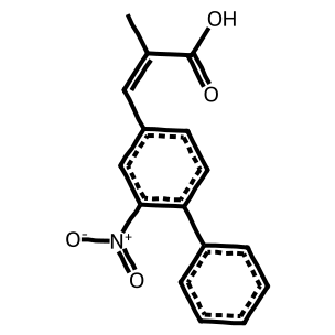 CC(=Cc1ccc(-c2ccccc2)c([N+](=O)[O-])c1)C(=O)O